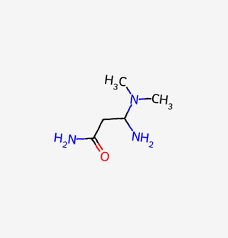 CN(C)C(N)CC(N)=O